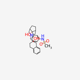 CS(=O)(=O)Nc1cccc(C2(O)C3CCC2CN(CC2(O)CCc4ccccc4C2)C3)c1